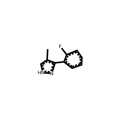 Cc1c[nH]nc1-c1ccccc1F